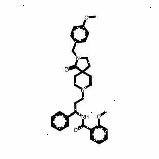 COc1ccc(CN2CCC3(CCN(CCC(NC(=O)c4ccccc4OC)c4ccccc4)CC3)C2=O)cc1